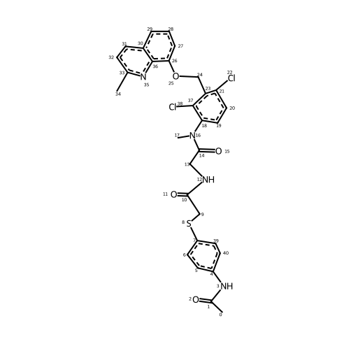 CC(=O)Nc1ccc(SCC(=O)NCC(=O)N(C)c2ccc(Cl)c(COc3cccc4ccc(C)nc34)c2Cl)cc1